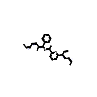 C=C/C(=C\C=C/C)c1cccc(/C(C)=N/C(=C(C)/C=C\C=C/C)c2ccccc2)n1